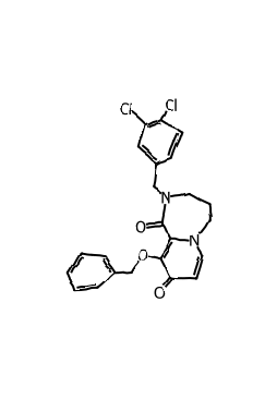 O=C1c2c(OCc3ccccc3)c(=O)ccn2CCCN1Cc1ccc(Cl)c(Cl)c1